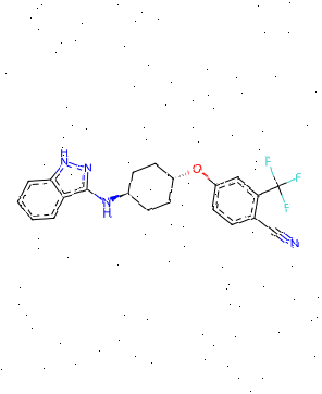 N#Cc1ccc(O[C@H]2CC[C@H](Nc3n[nH]c4ccccc34)CC2)cc1C(F)(F)F